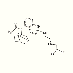 CCC(CNCCNc1ccc2c(C(C(N)=O)C34CC5CC(CC(C5)C3)C4)cccc2n1)C(C)C